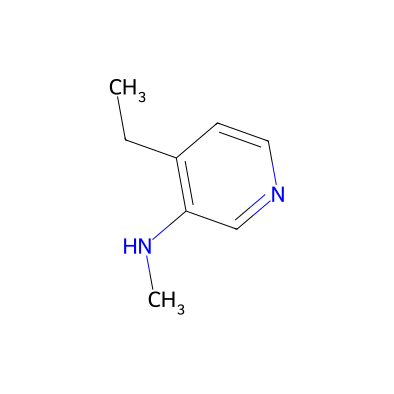 CCc1ccncc1NC